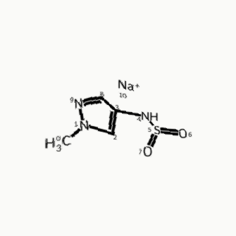 Cn1cc(N[S-](=O)=O)cn1.[Na+]